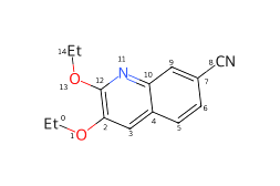 CCOc1cc2ccc(C#N)cc2nc1OCC